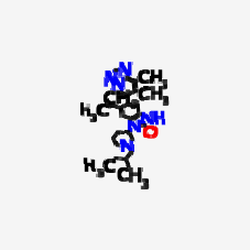 CCC(CC)CN1CCC[C@@H](n2c(=O)[nH]c3cc(-c4cn5ncnc5c(C)c4C)c(C(C)C)cc32)C1